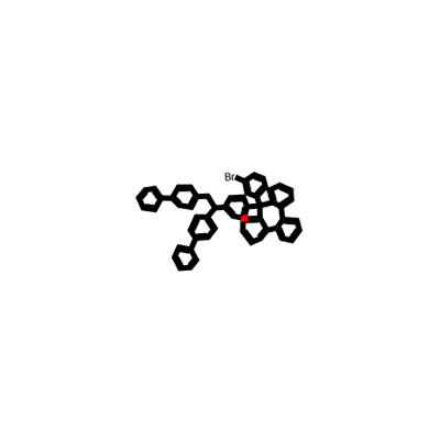 Brc1cccc(C2(c3ccc(C(Cc4ccc(-c5ccccc5)cc4)c4ccc(-c5ccccc5)cc4)cc3)c3ccccc3-c3ccccc3-c3ccccc32)c1